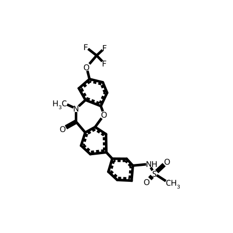 CN1C(=O)c2ccc(-c3cccc(NS(C)(=O)=O)c3)cc2Oc2ccc(OC(F)(F)F)cc21